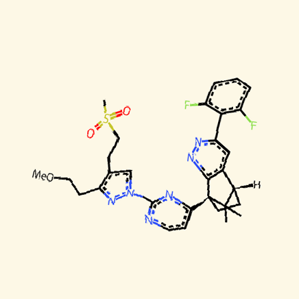 COCCc1nn(-c2nccc([C@@]34CC[C@@H](c5cc(-c6c(F)cccc6F)nnc53)C4(C)C)n2)cc1CCS(C)(=O)=O